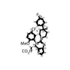 COc1ccc(C(F)(F)F)cc1N1C(N2CCC(F)(c3ccc(F)cc3)CC2)=Nc2ccsc2[C@@H]1CC(=O)O